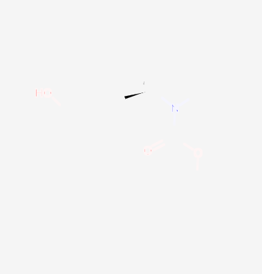 CC(C)(C)OC(=O)N1CCC[C@@H]1C#CCO